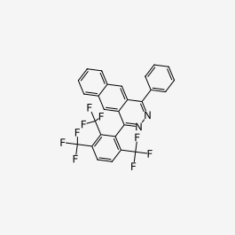 FC(F)(F)c1ccc(C(F)(F)F)c(C(F)(F)F)c1-c1nnc(-c2ccccc2)c2cc3ccccc3cc12